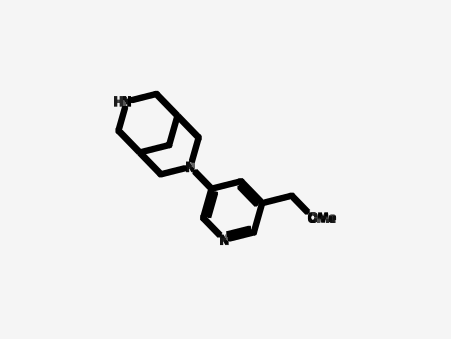 COCc1cncc(N2CC3CNCC(C3)C2)c1